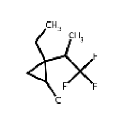 CCC1(C(C)C(F)(F)F)CC1Cl